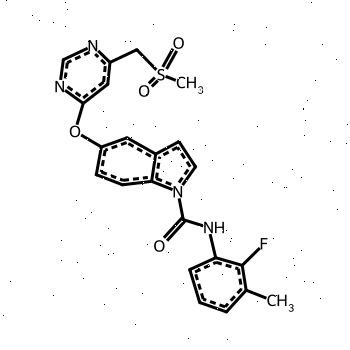 Cc1cccc(NC(=O)n2ccc3cc(Oc4cc(CS(C)(=O)=O)ncn4)ccc32)c1F